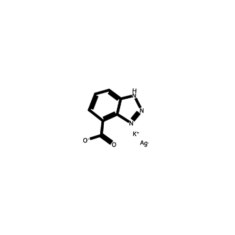 O=C([O-])c1cccc2[nH]nnc12.[Ag].[K+]